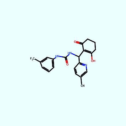 N#Cc1ccc(C(NC(=O)Nc2cccc(C(F)(F)F)c2)C2=C(O)CCCC2=O)nc1